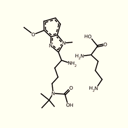 COc1cccc2c1nc(C(N)CCCN(C(=O)O)C(C)(C)C)n2C.NCCCC(N)C(=O)O